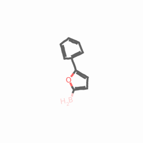 Bc1ccc(-c2ccccc2)o1